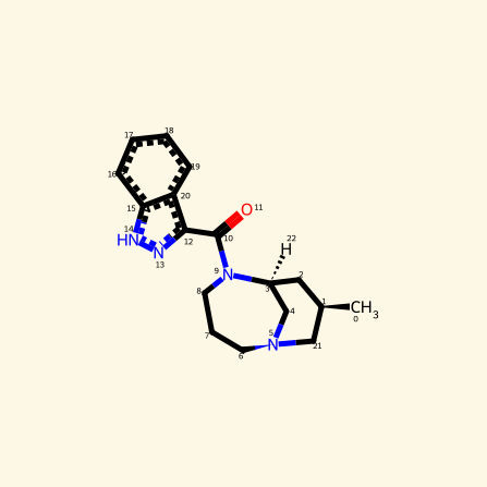 C[C@@H]1C[C@H]2C[N@](CCCN2C(=O)c2n[nH]c3ccccc23)C1